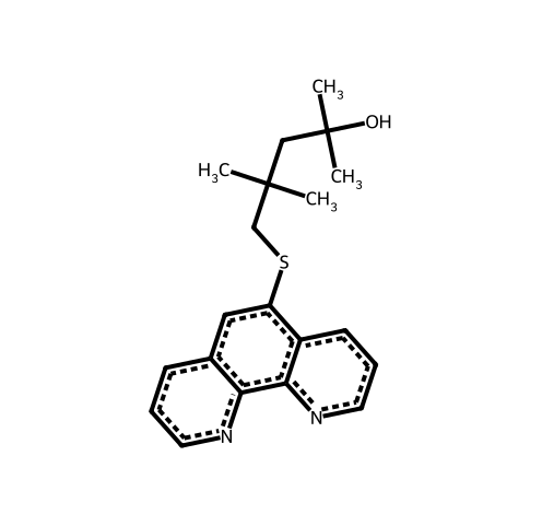 CC(C)(O)CC(C)(C)CSc1cc2cccnc2c2ncccc12